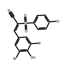 N#CC(=Cc1cc(Br)c(O)c(Br)c1)S(=O)(=O)c1ccc(Cl)cc1